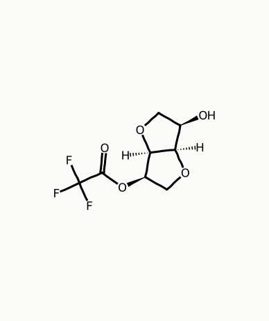 O=C(O[C@@H]1CO[C@H]2[C@@H]1OC[C@H]2O)C(F)(F)F